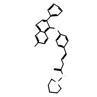 O=C(CC=Cc1ccc(Oc2c(-c3ccccc3)ccc3cc(O)ccc23)cc1)NN1CCCCC1